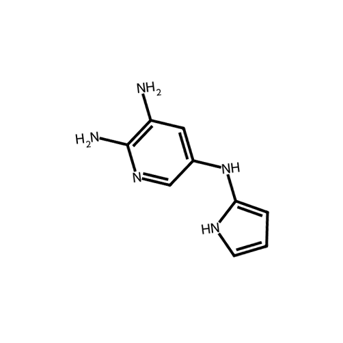 Nc1cc(Nc2ccc[nH]2)cnc1N